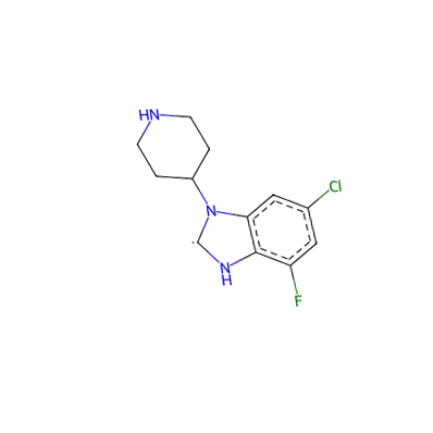 Fc1cc(Cl)cc2c1N[CH]N2C1CCNCC1